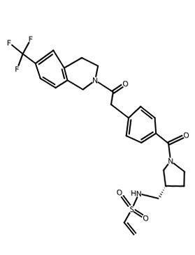 C=CS(=O)(=O)NC[C@H]1CCN(C(=O)c2ccc(CC(=O)N3CCc4cc(C(F)(F)F)ccc4C3)cc2)C1